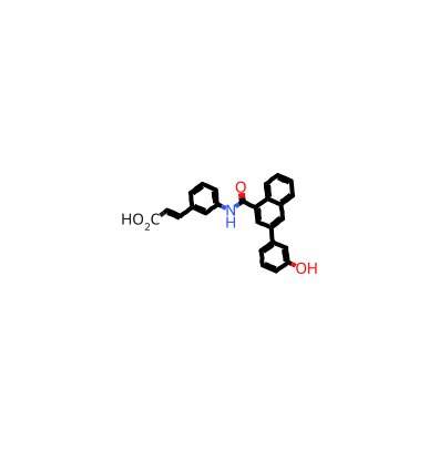 O=C(O)/C=C/c1cccc(NC(=O)c2cc(-c3cccc(O)c3)cc3ccccc23)c1